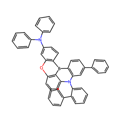 c1ccc(-c2ccc3c(c2)N(c2ccccc2-c2ccccc2)c2cccc4c2B3c2ccc(N(c3ccccc3)c3ccccc3)cc2O4)cc1